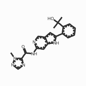 Cn1ncnc1C(=O)Nc1cc2[nH]c(-c3ccccc3C(C)(C)O)cc2cn1